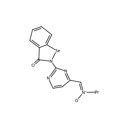 CC(C)[N+]([O-])=Cc1ccnc(-n2[se]c3ccccc3c2=O)n1